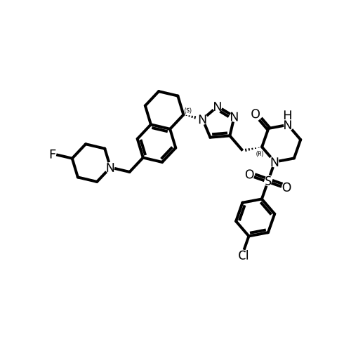 O=C1NCCN(S(=O)(=O)c2ccc(Cl)cc2)[C@@H]1Cc1cn([C@H]2CCCc3cc(CN4CCC(F)CC4)ccc32)nn1